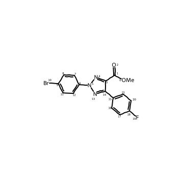 COC(=O)c1nn(-c2ccc(Br)cc2)nc1-c1ccc(F)cc1